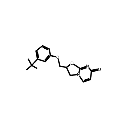 CC(C)(C)c1cccc(OCC2Cn3ccc(=O)nc3O2)c1